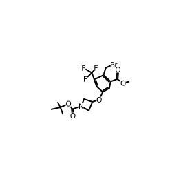 COC(=O)c1cc(OC2CN(C(=O)OC(C)(C)C)C2)cc(C(F)(F)F)c1CBr